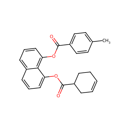 Cc1ccc(C(=O)Oc2cccc3cccc(OC(=O)C4CC=CCC4)c23)cc1